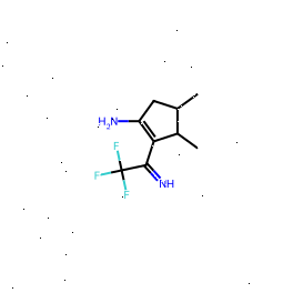 CC1CC(N)=C(C(=N)C(F)(F)F)C1C